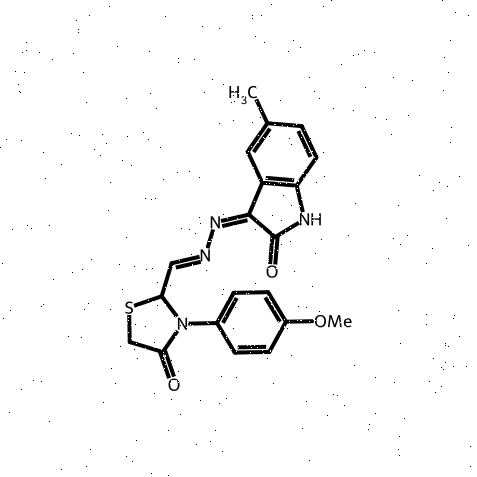 COc1ccc(N2C(=O)CSC2C=NN=C2C(=O)Nc3ccc(C)cc32)cc1